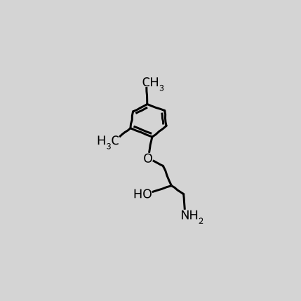 Cc1ccc(OCC(O)CN)c(C)c1